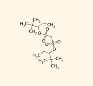 CCC(OS(=O)(=O)CS(=O)(=O)OC(CC)C(C)(C)C)C(C)(C)C